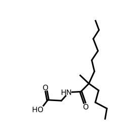 CCCCCCC(C)(CCCC)C(=O)NCC(=O)O